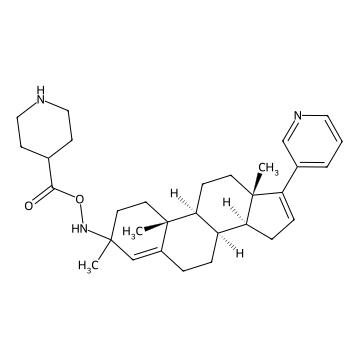 CC1(NOC(=O)C2CCNCC2)C=C2CC[C@H]3[C@H](CC[C@]4(C)C(c5cccnc5)=CC[C@@H]34)[C@@]2(C)CC1